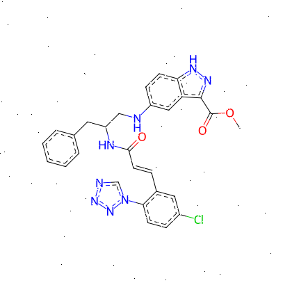 COC(=O)c1n[nH]c2ccc(NCC(Cc3ccccc3)NC(=O)C=Cc3cc(Cl)ccc3-n3cnnn3)cc12